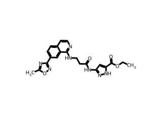 CCOC(=O)c1cc(NC(=O)CCNc2nccc3ccc(-c4noc(C)n4)cc23)n[nH]1